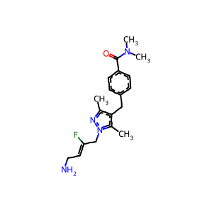 Cc1nn(CC(F)=CCN)c(C)c1Cc1ccc(C(=O)N(C)C)cc1